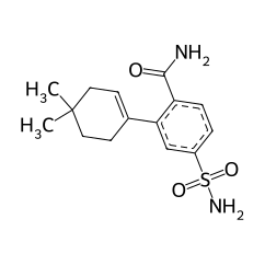 CC1(C)CC=C(c2cc(S(N)(=O)=O)ccc2C(N)=O)CC1